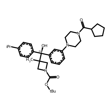 CC(C)c1ccc([C@](O)(c2cccc(N3CCN(C(=O)C4CCCC4)CC3)c2)C2(C)CN(C(=O)OC(C)(C)C)C2)cc1